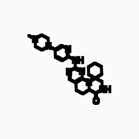 CN1CCN(c2ccc(Nc3ncc4c(n3)N3C(CC4)C(=O)NCC34CCCCC4)nc2)CC1